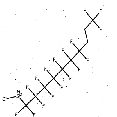 FC(F)(F)CCC(F)(F)C(F)(F)C(F)(F)C(F)(F)C(F)(F)C(F)(F)C(F)(F)[SiH2]Cl